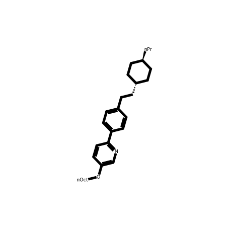 CCCCCCCCOc1ccc(-c2ccc(CC[C@H]3CC[C@H](CCC)CC3)cc2)nc1